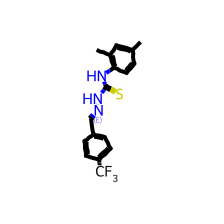 Cc1ccc(NC(=S)N/N=C/c2ccc(C(F)(F)F)cc2)c(C)c1